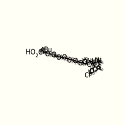 Cc1sc2c(c1C)C(c1ccc(Cl)cc1)=N[C@@H](CC(=O)Nc1ccc(OCCOCCOCCOCCOCCOCCOCCN(C(=O)O)C(C)(C)C)cc1)c1nnc(C)n1-2